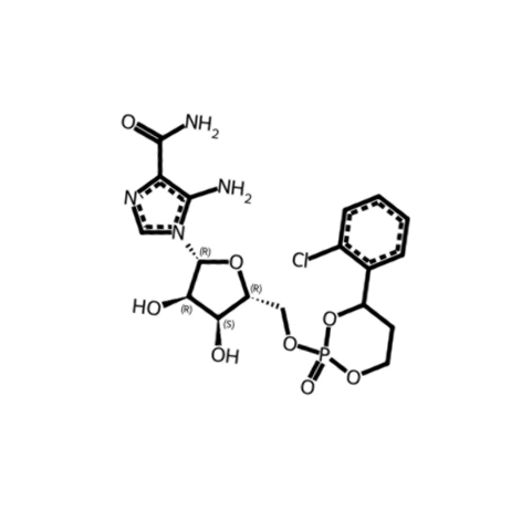 NC(=O)c1ncn([C@@H]2O[C@H](COP3(=O)OCCC(c4ccccc4Cl)O3)[C@@H](O)[C@H]2O)c1N